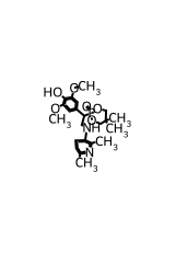 COc1cc(C(CNc2ccc(C)nc2C)P2(=O)OCC(C)(C)CO2)cc(OC)c1O